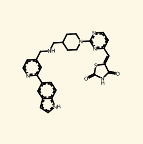 O=C1NC(=O)C(=Cc2ccnc(N3CCC(CNCc4ccnc(-c5ccc6[nH]ccc6c5)c4)CC3)n2)S1